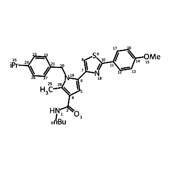 CCCCNC(=O)c1cc(-c2csc(-c3ccc(OC)cc3)n2)n(Cc2ccc(C(C)C)cc2)c1C